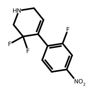 O=[N+]([O-])c1ccc(C2=CCNCC2(F)F)c(F)c1